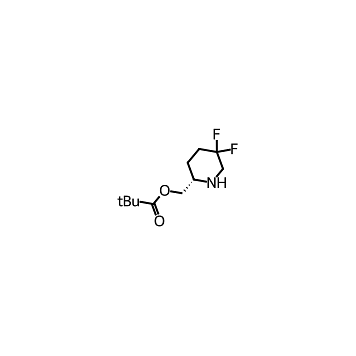 CC(C)(C)C(=O)OC[C@@H]1CCC(F)(F)CN1